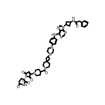 O=C1CC[C@H](N2C(=O)C=C(N3CCC(C(=O)N4CCC5(CC4)CC(N4CCN(c6ccc(Nc7ncnc8c7ncn8C7CC(NC(=O)Cc8ccccc8)C7)cc6)CC4)C5)CC3)C2=O)C(=O)N1